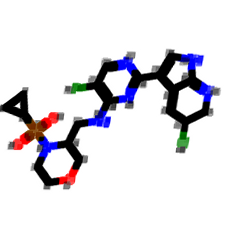 O=S(=O)(C1CC1)N1CCOCC1CNc1nc(-c2c[nH]c3c2=CC(Cl)CN=3)ncc1F